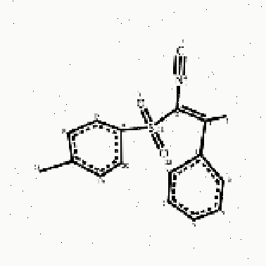 [C-]#[N+]C(=C(C)c1ccccc1)S(=O)(=O)c1ccc(C)cc1